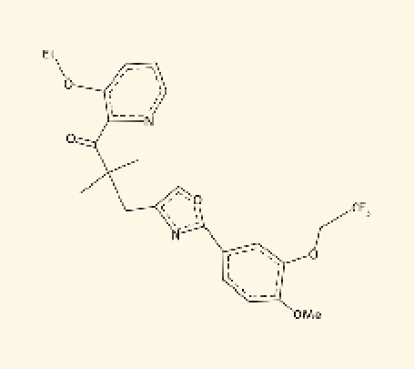 CCOc1cccnc1C(=O)C(C)(C)Cc1coc(-c2ccc(OC)c(OCC(F)(F)F)c2)n1